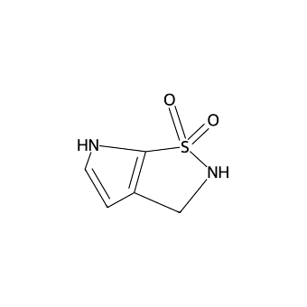 O=S1(=O)NCc2cc[nH]c21